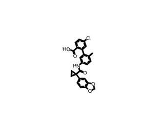 Cc1ccc(NC(=O)C2(c3ccc4c(c3)OCO4)CC2)cc1-c1cc(Cl)ccc1C(=O)O